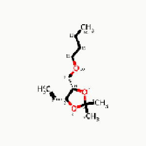 C=C[C@H]1OC(C)(C)O[C@H]1COCCCC